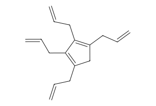 C=CCC1=C(CC=C)C(CC=C)=C(CC=C)C1